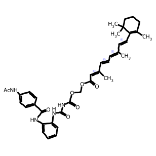 CC(=O)Nc1ccc(C(=O)Nc2ccccc2NC(=O)NC(=O)OCOC(=O)/C=C(C)/C=C/C=C(C)/C=C/C2=C(C)CCCC2(C)C)cc1